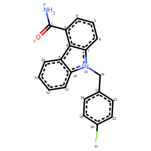 NC(=O)c1cccc2c1c1[c]cccc1n2Cc1ccc(F)cc1